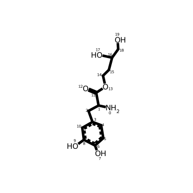 NC(Cc1ccc(O)c(O)c1)C(=O)OCCC(O)CO